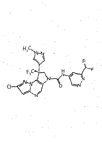 Cn1cc([C@]2(C(F)(F)F)CN(C(=O)Nc3cnnc(C(F)F)c3)c3cnc4cc(Cl)nn4c32)cn1